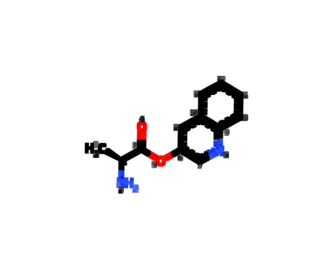 C[C@H](N)C(=O)Oc1cnc2ccccc2c1